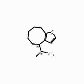 C[C@H](N)[C@H]1CCCCCc2sccc21